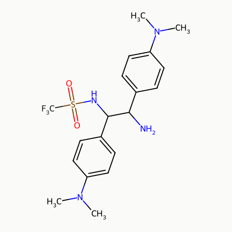 CN(C)c1ccc(C(N)C(NS(=O)(=O)C(F)(F)F)c2ccc(N(C)C)cc2)cc1